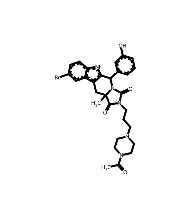 CC(=O)N1CCN(CCCN2C(=O)N3C(c4cccc(O)c4)c4[nH]c5ccc(Br)cc5c4CC3(C)C2=O)CC1